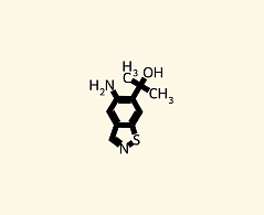 CC(C)(O)c1cc2sncc2cc1N